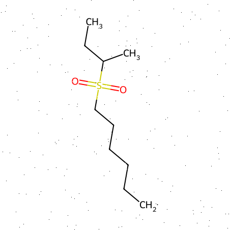 [CH2]CCCCCS(=O)(=O)C(C)CC